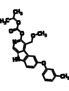 COCc1c(OC(=O)OC(C)C)ncc2[nH]c3ccc(Oc4cccc(C)c4)cc3c12